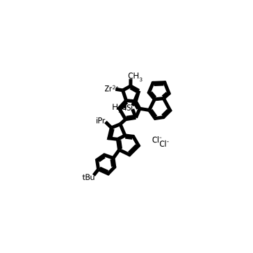 CC1=C2c3c(cc(C4C(C(C)C)=Cc5c(-c6ccc(C(C)(C)C)cc6)cccc54)c(c3-c3cccc4ccccc34)[SiH]2C)[CH]1[Zr+2].[Cl-].[Cl-]